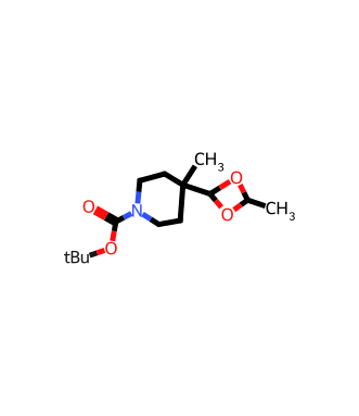 CC1OC(C2(C)CCN(C(=O)OC(C)(C)C)CC2)O1